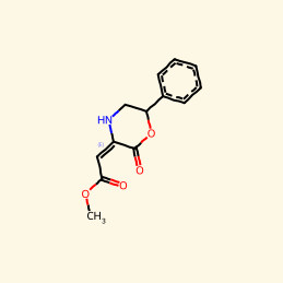 COC(=O)/C=C1/NCC(c2ccccc2)OC1=O